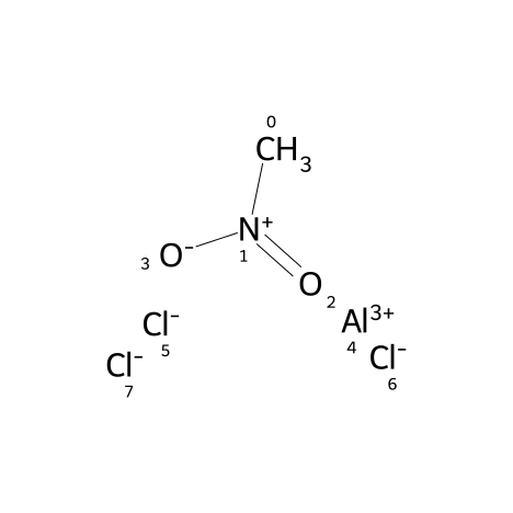 C[N+](=O)[O-].[Al+3].[Cl-].[Cl-].[Cl-]